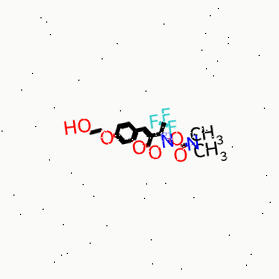 CN(C)C(=O)O/N=C(/c1cc2ccc(OCCO)cc2oc1=O)C(F)(F)F